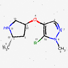 C[C@H]1C[C@H](Oc2cnn(C)c2Br)CN1